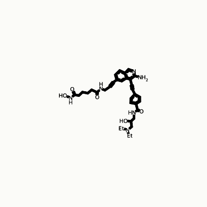 CCN(CC)CC(O)CNC(=O)c1ccc(C#Cc2c(N)ncc3ccc(C#CCNC(=O)CCCCC(=O)NO)cc23)cc1